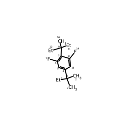 CCC(C)(C)c1cc(F)c(C(C)(CC)CC)c(F)c1